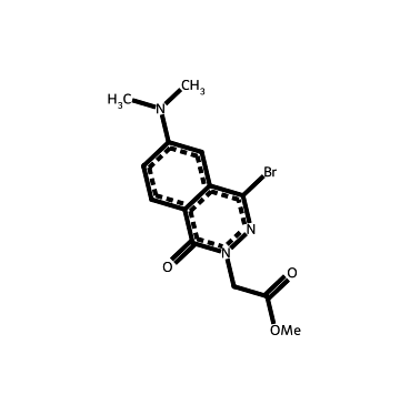 COC(=O)Cn1nc(Br)c2cc(N(C)C)ccc2c1=O